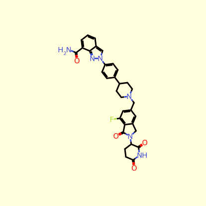 NC(=O)c1cccc2cn(-c3ccc(C4CCN(Cc5cc(F)c6c(c5)CN(C5CCC(=O)NC5=O)C6=O)CC4)cc3)nc12